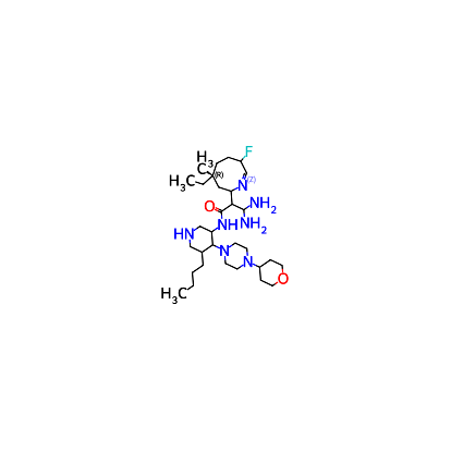 CCCCC1CNCC(NC(=O)C(C(N)N)C2C[C@](C)(CC)CCC(F)/C=N\2)C1N1CCN(C2CCOCC2)CC1